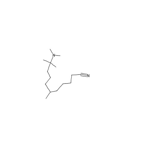 CC(CCCCC#N)CCCC(C)(C)N(C)C